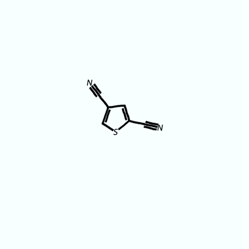 N#Cc1csc(C#N)c1